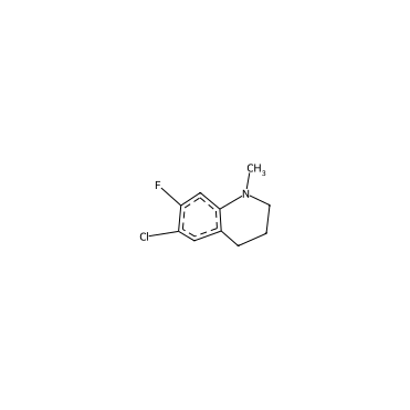 CN1CCCc2cc(Cl)c(F)cc21